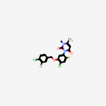 Cn1c(C(F)(F)F)cc(=O)n(-c2cc(OCc3ccc(Cl)c(Cl)c3)c(Cl)cc2F)c1=O